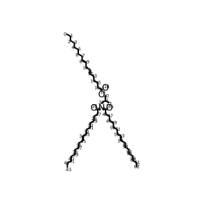 CCCCCCCCC=CCCCCCCCC(=O)OCC(C)CN(C(=O)CCCCCCCC=CCCCCCCCC)C(=O)CCCCCCCC=CCCCCCCCC